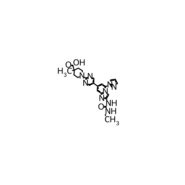 CCNC(=O)Nc1cn2c(-n3cccn3)cc(-c3cnc(N4CCC(C)(C(=O)O)CC4)nc3)cc2n1